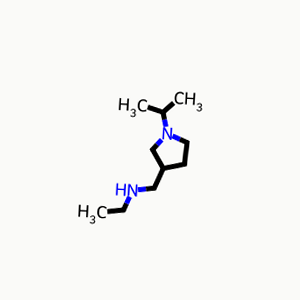 CCNCC1CCN(C(C)C)C1